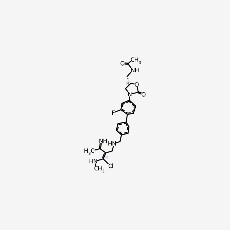 CN/C(Cl)=C(/CNCc1ccc(-c2ccc(N3C[C@H](CNC(C)=O)OC3=O)cc2F)cc1)C(C)=N